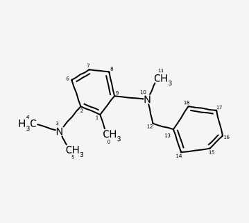 Cc1c(N(C)C)cccc1N(C)Cc1ccccc1